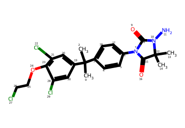 CC(C)(c1ccc(N2C(=O)N(N)C(C)(C)C2=O)cc1)c1cc(Cl)c(OCCCl)c(Cl)c1